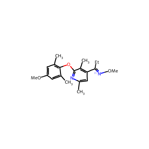 CC/C(=N\OC)c1cc(C)nc(Oc2c(C)cc(OC)cc2C)c1C